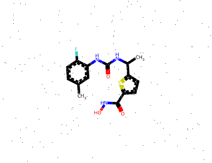 Cc1ccc(F)c(NC(=O)NC(C)c2ccc(C(=O)NO)s2)c1